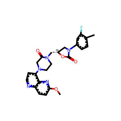 COc1ccc2nccc(N3CCN(C[C@@H]4CN(c5ccc(C)c(F)c5)C(=O)O4)C(=O)C3)c2n1